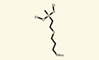 CCCCCCCCCCCCSCC[Si](C)(OCC)OCC